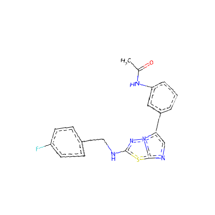 CC(=O)Nc1cccc(-c2cnc3sc(NCc4ccc(F)cc4)nn23)c1